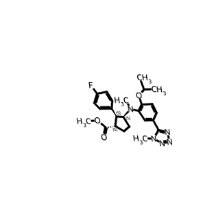 COC(=O)[C@H]1CC[C@H](N(C)c2cc(-c3nnnn3C)ccc2OC(C)C)[C@@H]1c1ccc(F)cc1